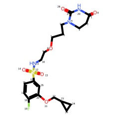 O=C1CCN(CCCOCCNS(=O)(=O)c2ccc(F)c(OCC3CC3)c2)C(=O)N1